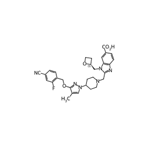 Cc1cn(C2CCN(Cc3nc4ccc(C(=O)O)cc4n3C[C@@H]3CCO3)CC2)nc1OCc1ccc(C#N)cc1F